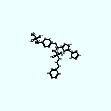 O=S(=O)(O)Nc1ccc(C[C@H](NS(=O)(=O)CCCc2ccccc2)c2csc(-c3cccs3)n2)cc1